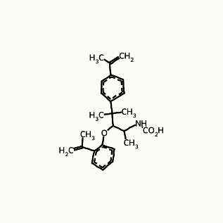 C=C(C)c1ccc(C(C)(C)C(Oc2ccccc2C(=C)C)C(C)NC(=O)O)cc1